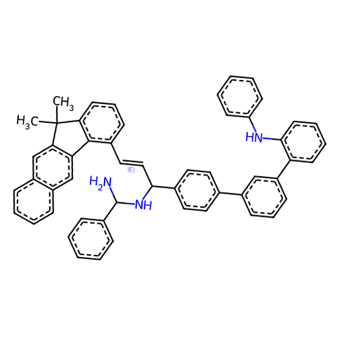 CC1(C)c2cc3ccccc3cc2-c2c(/C=C/C(NC(N)c3ccccc3)c3ccc(-c4cccc(-c5ccccc5Nc5ccccc5)c4)cc3)cccc21